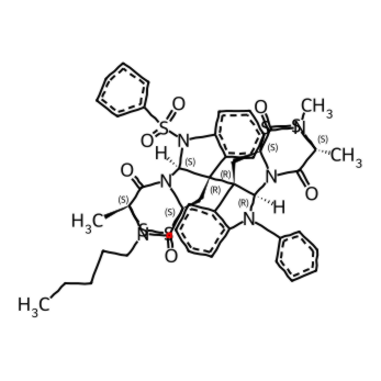 CCCCCN1C(=O)[C@@]23C[C@]4([C@]56C[C@@]78SS[C@@](C)(C(=O)N7[C@H]5N(c5ccccc5)c5ccccc56)N(C)C8=O)c5ccccc5N(S(=O)(=O)c5ccccc5)[C@@H]4N2C(=O)[C@]1(C)SS3